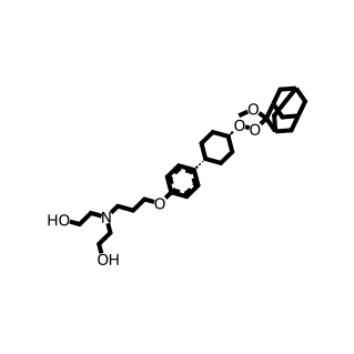 COC1(OO[C@H]2CC[C@@H](c3ccc(OCCCN(CCO)CCO)cc3)CC2)C2CC3CC(C2)CC1C3